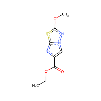 CCOC(=O)c1cn2nc(OC)sc2n1